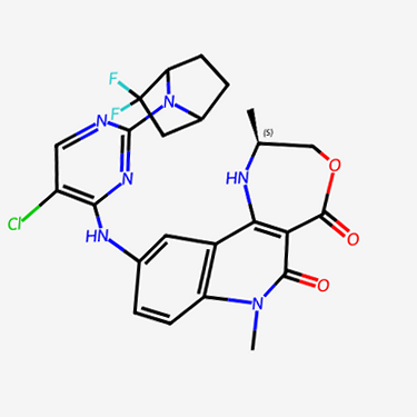 C[C@H]1COC(=O)c2c(c3cc(Nc4nc(N5C6CCC5C(F)(F)C6)ncc4Cl)ccc3n(C)c2=O)N1